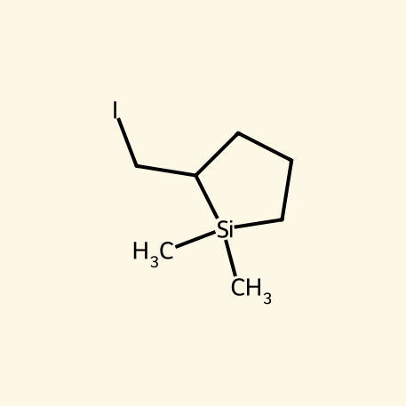 C[Si]1(C)CCCC1CI